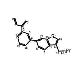 C=CC(=C)c1cc(-c2ccc3c(CC(C)C)csc3c2)ccn1